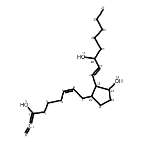 C=C=C(O)CCC/C=C\CC1CCC(O)C1/C=C/C(O)CCCCC